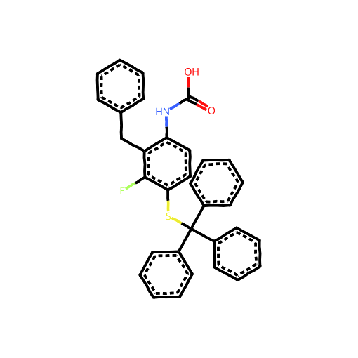 O=C(O)Nc1ccc(SC(c2ccccc2)(c2ccccc2)c2ccccc2)c(F)c1Cc1ccccc1